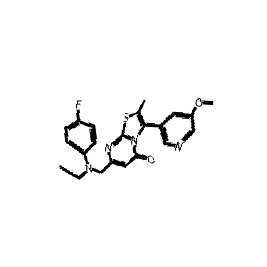 CCN(Cc1cc(=O)n2c(-c3cncc(OC)c3)c(C)sc2n1)c1ccc(F)cc1